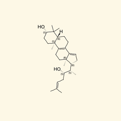 CC(C)=CC[C@H](O)[C@@H](C)[C@H]1CC=C2C3=C(CC[C@@]21C)[C@@]1(C)CC[C@H](O)C(C)(C)[C@@H]1CC3